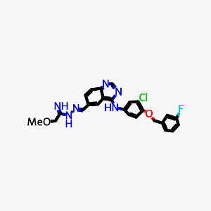 COCC(=N)NN=Cc1ccc2ncnc(Nc3ccc(OCc4cccc(F)c4)c(Cl)c3)c2c1